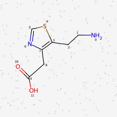 NCCc1scnc1CC(=O)O